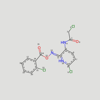 O=C(CCl)Nc1ccc(Cl)[nH]c1=NOC(=O)c1ccccc1Cl